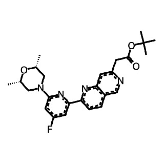 C[C@@H]1CN(c2cc(F)cc(-c3ccc4cnc(CC(=O)OC(C)(C)C)cc4n3)n2)C[C@H](C)O1